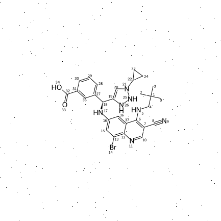 CC(C)(C)CNc1c(C#N)cnc2c(Br)cc(N[C@H](C3=CN(C4CC4)NN3)c3cccc(C(=O)O)c3)cc12